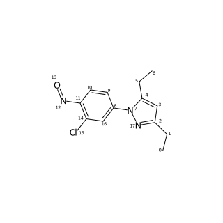 CCc1cc(CC)n(-c2ccc(N=O)c(Cl)c2)n1